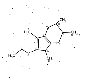 CCCC1=C(C)C2=C(CC(C)C(C)[C]2)C1C